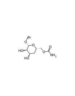 CC(C)O[C@@H]1O[C@H](COC(N)=O)C[C@@H](O)[C@H]1O